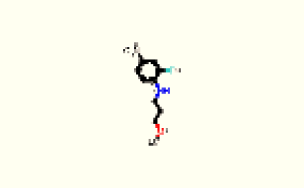 CCOCCCNc1ccc([N+](=O)[O-])cc1F